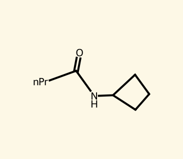 CCCC(=O)NC1CCC1